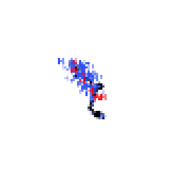 CN(C)c1ccc(/C=C/C=C\C=C\C=N\C(O)C(=O)NC(C(=O)NC(NC(=N)N)C(=O)NC(NC(=N)N)C(=O)NC(NC(=N)N)C(=O)NC(NC(=N)N)C(=O)NC(N)C(N)=O)c2ccccc2)cc1